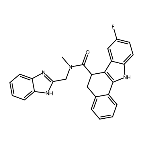 CN(Cc1nc2ccccc2[nH]1)C(=O)C1Cc2ccccc2-c2[nH]c3ccc(F)cc3c21